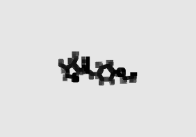 Cc1csc(NCc2ccc(OCF)cc2)c1C